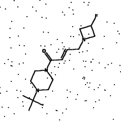 CC(C)(C)N1CCN(C(=O)/C=C/CN2CC(F)C2)CC1